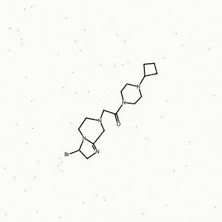 O=C(CN1CCN2C(=NCC2Br)C1)N1CCN(C2CCC2)CC1